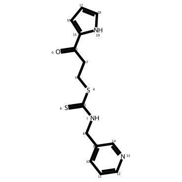 O=C(CCSC(=S)NCc1cccnc1)c1ccc[nH]1